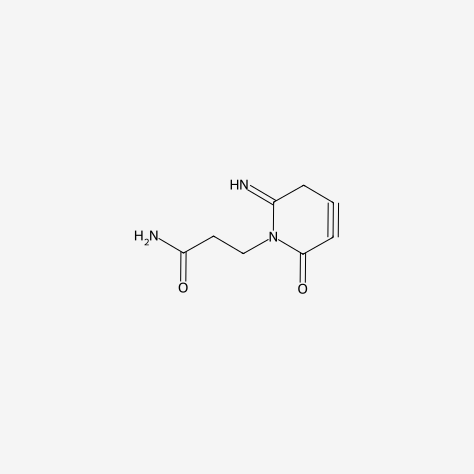 N=C1CC#CC(=O)N1CCC(N)=O